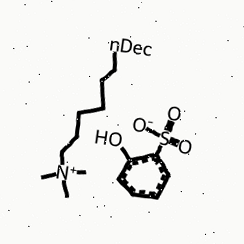 CCCCCCCCCCCCCCCC[N+](C)(C)C.O=S(=O)([O-])c1ccccc1O